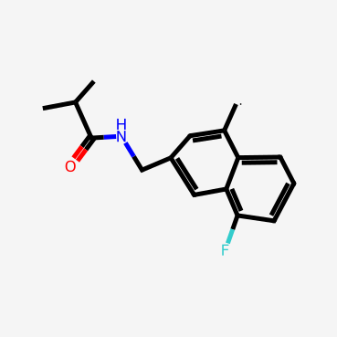 [CH2]c1cc(CNC(=O)C(C)C)cc2c(F)cccc12